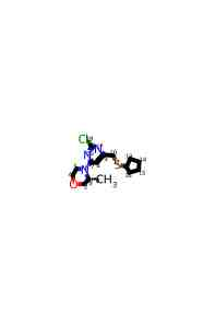 C[C@H]1COCCN1c1cc(CSC2CCCC2)nc(Cl)n1